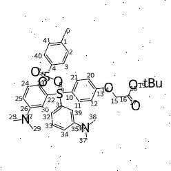 Cc1ccc(S(=O)(=O)OS(c2ccc(OCC(=O)OC(C)(C)C)cc2)(c2cccc(N(C)C)c2)c2cccc(N(C)C)c2)cc1